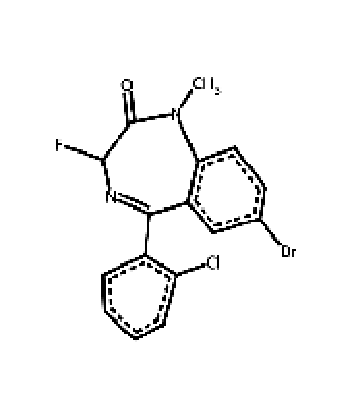 CN1C(=O)C(F)N=C(c2ccccc2Cl)c2cc(Br)ccc21